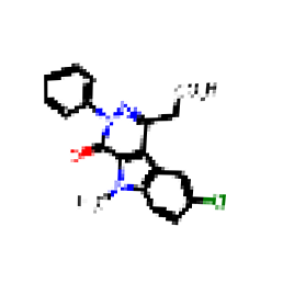 Cn1c2ccc(Cl)cc2c2c(CC(=O)O)nn(-c3ccccc3)c(=O)c21